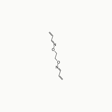 C=CC=NOCCON=CC=C